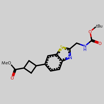 COC(=O)C1CC(c2ccc3nc(CNC(=O)OC(C)(C)C)sc3c2)C1